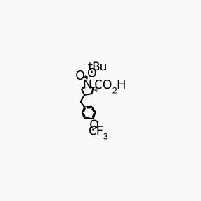 CC(C)(C)OC(=O)N1CC(Cc2ccc(OC(F)(F)F)cc2)C[C@H]1C(=O)O